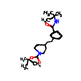 CC(C)(C)NC(=O)c1cccc(CCC2CCN(C(=O)OC(C)(C)C)CC2)c1